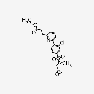 CCOC(=O)CCc1cccc(-c2ccc(S(=O)(=O)N(C)C[C@H]3CO3)cc2Cl)n1